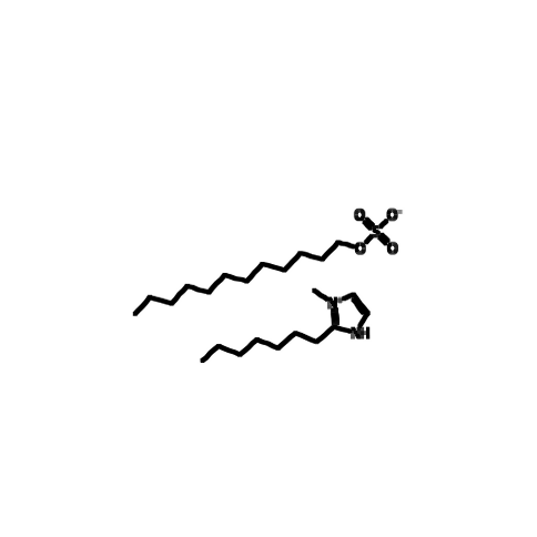 CCCCCCCCCCCCOS(=O)(=O)[O-].CCCCCCCc1[nH]cc[n+]1C